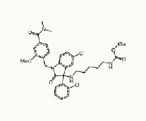 COc1cc(C(=O)N(C)C)ccc1CN1C(=O)C(NCCCCCNC(=O)OC(C)(C)C)(c2ccccc2Cl)c2cc(Cl)ccc21